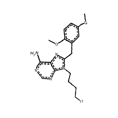 COc1ccc(OC)c(Cc2nc3c(N)ncnc3n2CCCCCl)c1